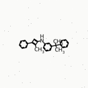 CC1=C(c2ccccc2)C=C1Nc1cccc(C(C)(C)c2ccccc2)c1